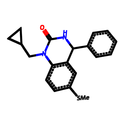 CSc1ccc2c(c1)C(c1ccccc1)NC(=O)N2CC1CC1